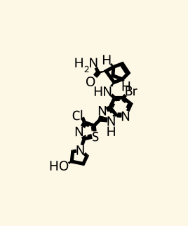 NC(=O)[C@@H]1[C@H](Nc2c(Br)cnc3[nH]c(-c4sc(N5CC[C@@H](O)C5)nc4Cl)nc23)[C@H]2C=C[C@@H]1C2